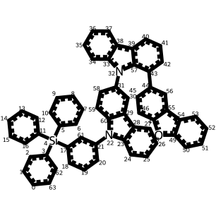 c1ccc([Si](c2ccccc2)(c2ccccc2)c2cccc(-n3c4ccccc4c4cc(-n5c6ccccc6c6cccc(-c7ccc8oc9ccccc9c8c7)c65)ccc43)c2)cc1